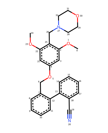 COc1cc(OCc2ccccc2-c2ccccc2C#N)cc(OC)c1CN1CCOCC1